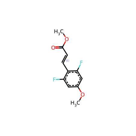 COC(=O)/C=C/c1c(F)cc(OC)cc1F